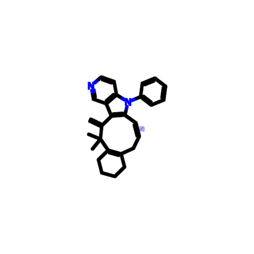 C=C1c2c(n(-c3ccccc3)c3ccncc23)/C=C\CC2=C(CCCC2)C1(C)C